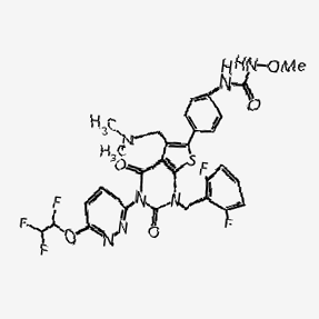 CONC(=O)Nc1ccc(-c2sc3c(c2CN(C)C)c(=O)n(-c2ccc(OC(F)C(F)F)nn2)c(=O)n3Cc2c(F)cccc2F)cc1